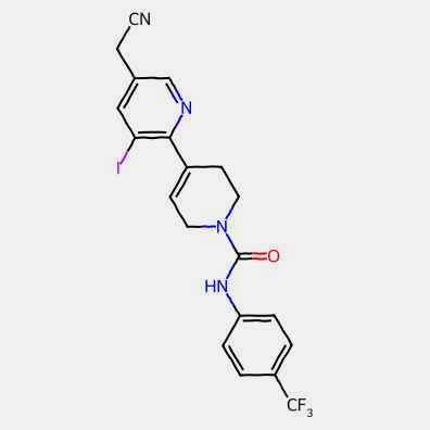 N#CCc1cnc(C2=CCN(C(=O)Nc3ccc(C(F)(F)F)cc3)CC2)c(I)c1